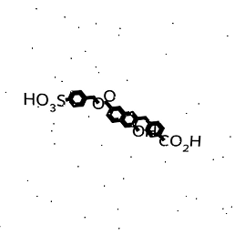 O=C(O)c1ccc(Cc2cc3cc(C(=O)OCc4ccc(S(=O)(=O)O)cc4)ccc3cc2O)cc1